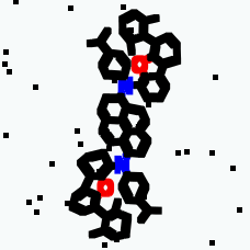 Cc1cccc(C)c1-c1cccc2c1oc1c(N(c3ccc(C(C)C)cc3)c3ccc4ccc5c(N(c6ccc(C(C)C)cc6)c6cccc7c6oc6c(-c8c(C)cccc8C)cccc67)ccc6ccc3c4c65)cccc12